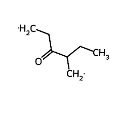 [CH2]CC(=O)C([CH2])CC